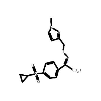 Cn1ccc(CO/N=C(/C(=O)O)c2ccc(S(=O)(=O)C3CC3)cc2)n1